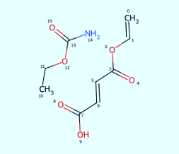 C=COC(=O)C=CC(=O)O.CCOC(N)=O